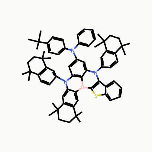 CC(C)(C)c1ccc(N(c2ccccc2)c2cc3c4c(c2)N(c2ccc5c(c2)C(C)(C)CCC5(C)C)c2c(sc5ccccc25)B4c2cc4c(cc2N3c2ccc3c(c2)C(C)(C)CCC3(C)C)C(C)(C)CCC4(C)C)cc1